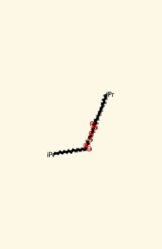 CC(C)CCCCCCCCCCCCCCC(=O)OCCOCCOCCOC(=O)CCCCCCCCCCCCCCC(C)C